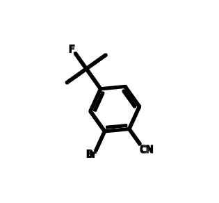 CC(C)(F)c1ccc(C#N)c(Br)c1